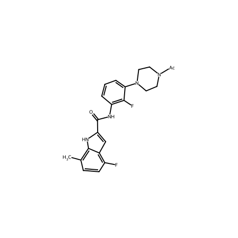 CC(=O)N1CCN(c2cccc(NC(=O)c3cc4c(F)ccc(C)c4[nH]3)c2F)CC1